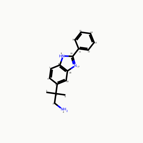 CC(C)(CN)c1ccc2[nH]c(-c3ccccc3)nc2c1